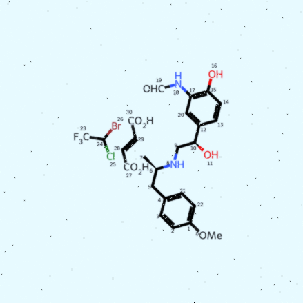 COc1ccc(C[C@@H](C)NC[C@H](O)c2ccc(O)c(NC=O)c2)cc1.FC(F)(F)C(Cl)Br.O=C(O)/C=C/C(=O)O